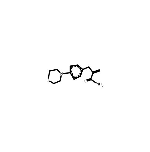 C=C(Cc1ccc(N2CCOCC2)cc1)C(N)=O